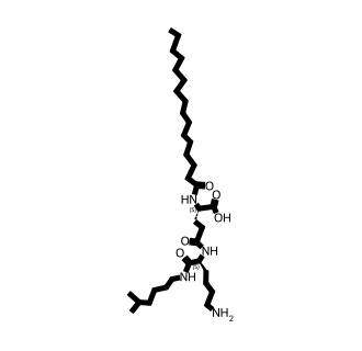 CCCCCCCCCCCCCCCC(=O)N[C@@H](CCC(=O)N[C@@H](CCCCN)C(=O)NCCCCC(C)C)C(=O)O